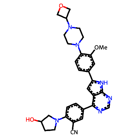 COc1cc(-c2cc3c(-c4ccc(N5CCC(O)C5)c(C#N)c4)ncnc3[nH]2)ccc1N1CCN(C2COC2)CC1